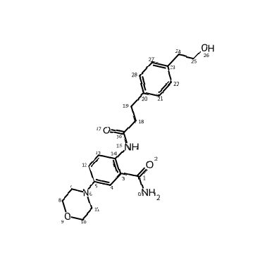 NC(=O)c1cc(N2CCOCC2)ccc1NC(=O)[CH]Cc1ccc(CCO)cc1